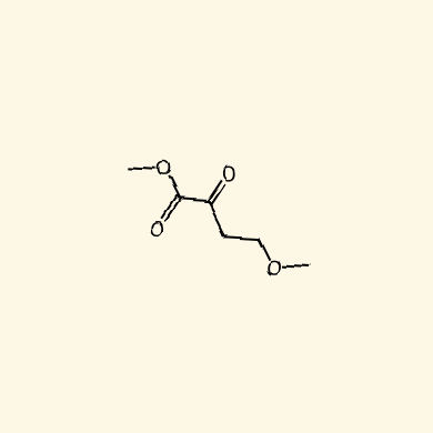 COCCC(=O)C(=O)OC